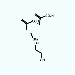 C=C(C)C(=O)O.C=C(C)C(=O)O.CC(C)(C)C.OCCO